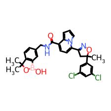 CC1(C)OB(O)c2cc(CNC(=O)c3ccc(C4=NOC(C)(c5cc(Cl)cc(Cl)c5)C4)n4cccc34)ccc21